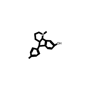 Cc1ccc(C2c3ccc(O)cc3C3C2CCCN3C)cc1